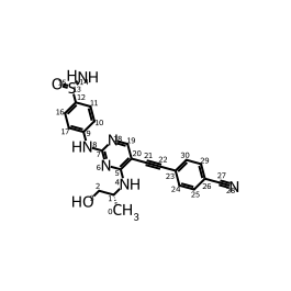 C[C@H](CO)Nc1nc(Nc2ccc([SH](=N)=O)cc2)ncc1C#Cc1ccc(C#N)cc1